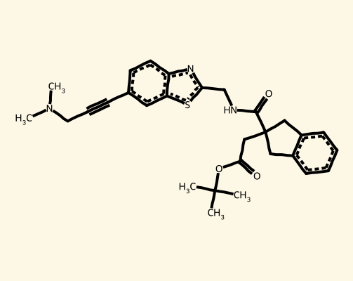 CN(C)CC#Cc1ccc2nc(CNC(=O)C3(CC(=O)OC(C)(C)C)Cc4ccccc4C3)sc2c1